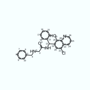 O=C(CNCc1ccccc1)NC(c1ccccc1)c1cc(Cl)c2cccnc2c1O